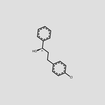 O[C@H](CCc1ccc(Cl)cc1)c1ccccc1